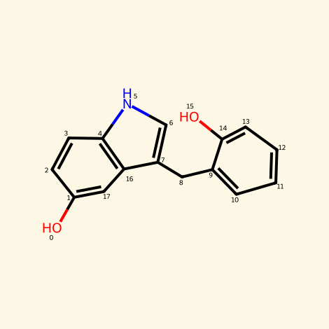 Oc1ccc2[nH]cc(Cc3ccccc3O)c2c1